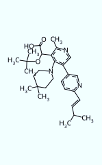 Cc1ncc(-c2ccc(C=CC(C)C)nc2)c(N2CCC(C)(C)CC2)c1C(OC(C)(C)C)C(=O)O